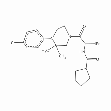 CC(C)C(NC(=O)C1CCCC1)C(=O)N1CCN(c2ccc(Cl)cc2)C(C)(C)C1